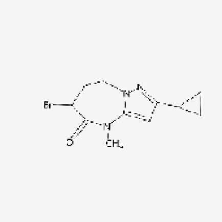 CN1C(=O)C(Br)CCn2nc(C3CC3)cc21